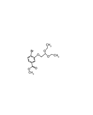 CCOC(COc1cc(C(=O)OC)ccc1Br)OCC